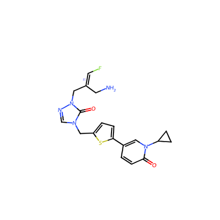 NC/C(=C\F)Cn1ncn(Cc2ccc(-c3ccc(=O)n(C4CC4)c3)s2)c1=O